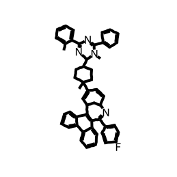 Cc1ccccc1C1=NC(C2CCC(C)(C3=CC4CC(C=C3)N=C(c3ccc(F)cc3)c3c4c4ccccc4c4ccccc34)CC2)N(C)C(c2ccccc2)=N1